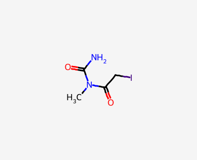 CN(C(N)=O)C(=O)CI